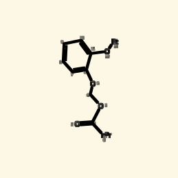 CCCC(=O)OCOc1ccccc1OCC